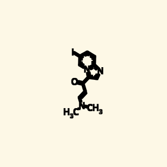 CN(C)/C=C/C(=O)c1cnc2ccc(I)cn12